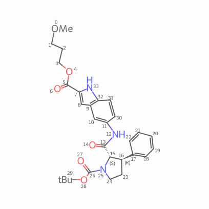 COCCCOC(=O)c1cc2cc(NC(=O)[C@@H]3[C@@H](c4ccccc4)CCN3C(=O)OC(C)(C)C)ccc2[nH]1